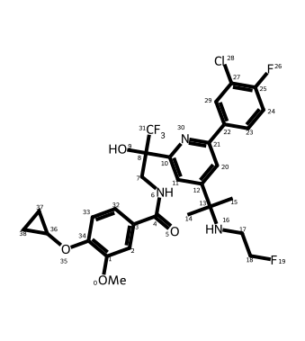 COc1cc(C(=O)NCC(O)(c2cc(C(C)(C)NCCF)cc(-c3ccc(F)c(Cl)c3)n2)C(F)(F)F)ccc1OC1CC1